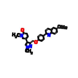 COc1ccc2nc(-c3ccc(OCc4nn(C)cc4-c4ccc(=O)n(C)c4)cc3)ccc2c1